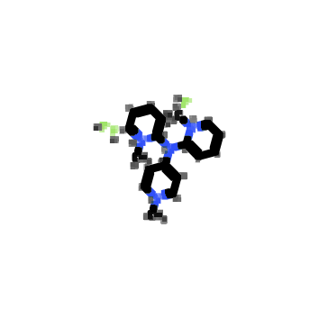 C[n+]1ccc(N(c2cccc[n+]2C)c2cccc[n+]2C)cc1.[F-].[F-].[F-]